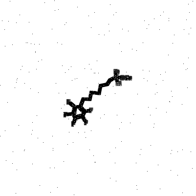 CC[Si](CC)(CCCCCCCc1c(F)c(F)c(F)c(F)c1F)OC